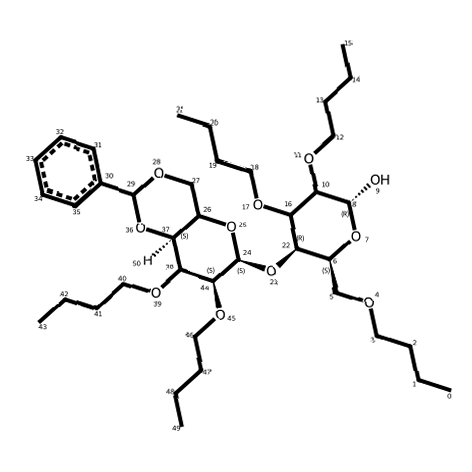 CCCCOC[C@@H]1O[C@@H](O)C(OCCCC)C(OCCCC)[C@@H]1O[C@@H]1OC2COC(c3ccccc3)O[C@@H]2C(OCCCC)[C@@H]1OCCCC